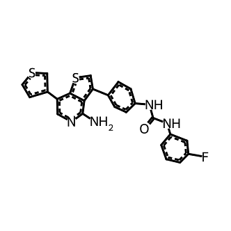 Nc1ncc(-c2ccsc2)c2scc(-c3ccc(NC(=O)Nc4cccc(F)c4)cc3)c12